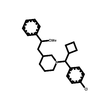 COC(CC1CCCN(C(c2ccc(Cl)cc2)C2CCC2)C1)c1ccccc1